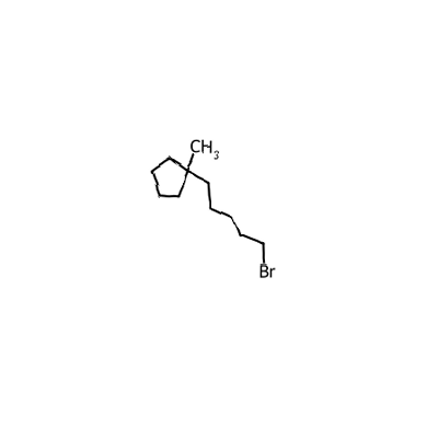 CC1(CCCCCBr)CCCC1